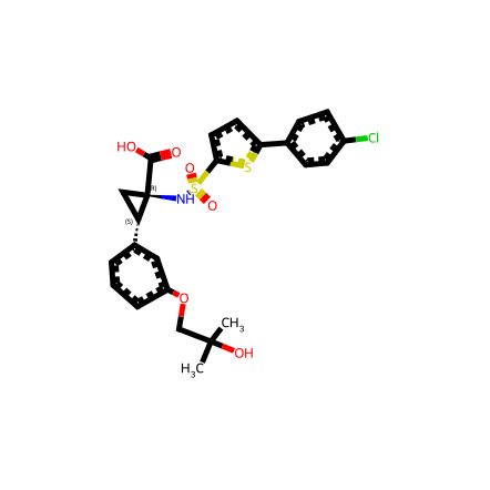 CC(C)(O)COc1cccc([C@@H]2C[C@]2(NS(=O)(=O)c2ccc(-c3ccc(Cl)cc3)s2)C(=O)O)c1